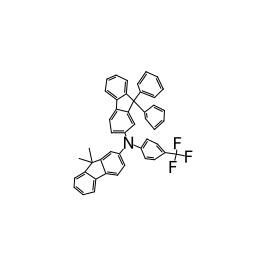 CC1(C)c2ccccc2-c2ccc(N(c3ccc(C(F)(F)F)cc3)c3ccc4c(c3)C(c3ccccc3)(c3ccccc3)c3ccccc3-4)cc21